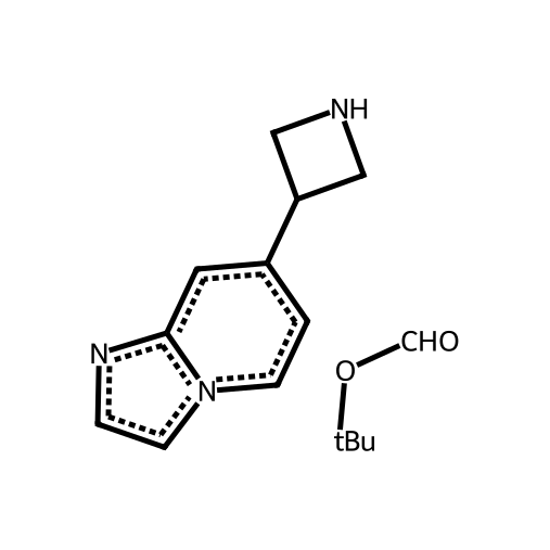 CC(C)(C)OC=O.c1cn2ccc(C3CNC3)cc2n1